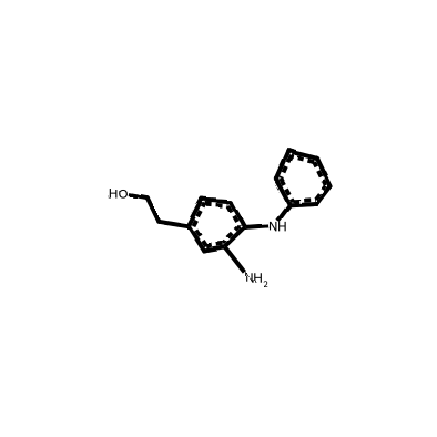 Nc1cc(CCO)ccc1Nc1ccccc1